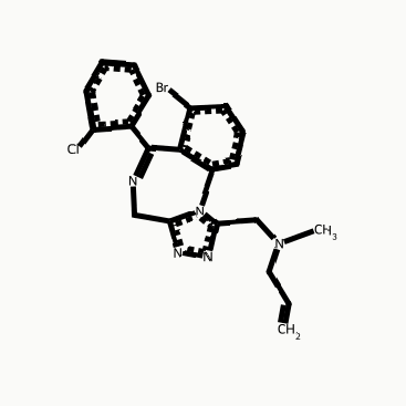 C=CCN(C)Cc1nnc2n1-c1cccc(Br)c1C(c1ccccc1Cl)=NC2